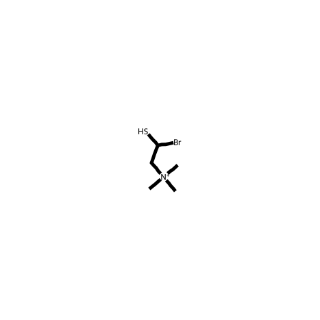 C[N+](C)(C)CC(S)Br